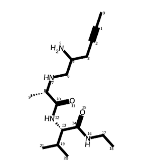 CC#CCC(N)CN[C@@H](C)C(=O)N[C@H](C(=O)NCC)C(C)C